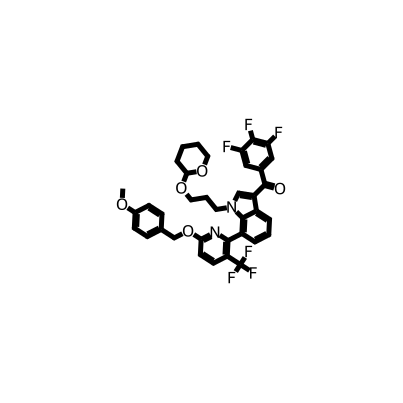 COc1ccc(COc2ccc(C(F)(F)F)c(-c3cccc4c(C(=O)c5cc(F)c(F)c(F)c5)cn(CCCOC5CCCCO5)c34)n2)cc1